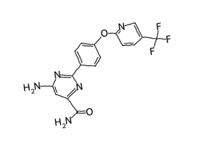 NC(=O)c1cc(N)nc(-c2ccc(Oc3ccc(C(F)(F)F)cn3)cc2)n1